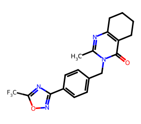 Cc1nc2c(c(=O)n1Cc1ccc(-c3noc(C(F)(F)F)n3)cc1)CCCC2